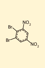 O=[N+]([O-])c1cc(Br)c(Br)c([N+](=O)[O-])c1